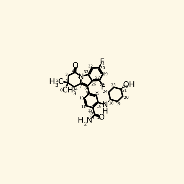 CC1(C)CC(=O)n2c(c(-c3ccc(C(N)=O)c(N[C@H]4CC[C@H](O)CC4)c3)c3c(F)cc(F)cc32)C1